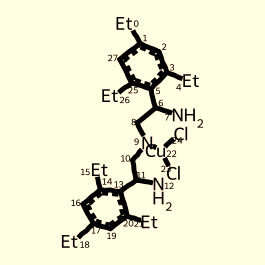 CCc1cc(CC)c(C(N)C[N](CC(N)c2c(CC)cc(CC)cc2CC)[Cu]([Cl])[Cl])c(CC)c1